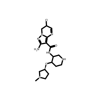 CN1CC[C@H](OC2CCNCC2NC(=O)c2c(N)nn3c2N=CC(Cl)C3)C1